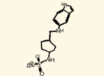 CC(C)(C)S(=O)(=O)NC1CCC(CNc2ccc3[nH]ccc3c2)CC1